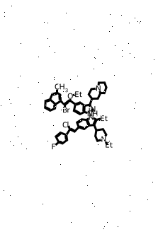 CCOC(=C(Br)c1cc(C)cc2ccccc12)c1ccc2[nH]nc(C3CCN4CCCCC4C3)c2c1.CCc1[nH]c2ccc(C=C(Cl)c3ccc(F)cc3)cc2c1C1CCN(CC)CC1